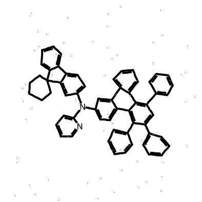 c1ccc(-c2cc(-c3ccccc3)c3c4ccccc4c4cc(N(c5ccc6c(c5)C5(CCCCC5)c5ccccc5-6)c5ccccn5)ccc4c3c2-c2ccccc2)cc1